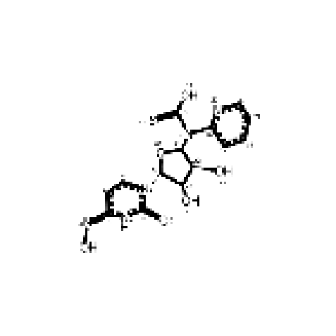 O=c1[nH]/c(=N\O)ccn1[C@@H]1O[C@@H](N(C(O)=S)c2ccccn2)[C@@H](O)[C@H]1O